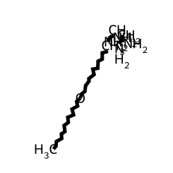 CC(N)CN.CC(N)CN.CCCCCCCCCCCCCOCCCCCCCCCCCCC